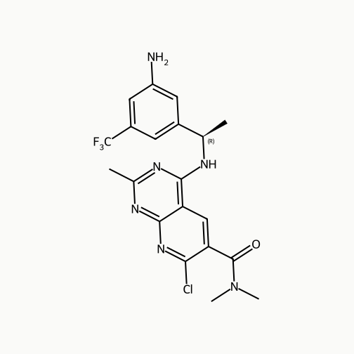 Cc1nc(N[C@H](C)c2cc(N)cc(C(F)(F)F)c2)c2cc(C(=O)N(C)C)c(Cl)nc2n1